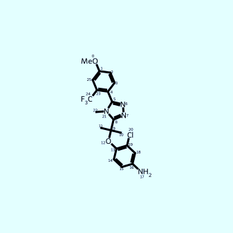 COc1ccc(-c2nnc(C(C)(C)Oc3ccc(N)cc3Cl)n2C)c(C(F)(F)F)c1